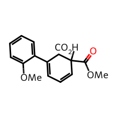 COC(=O)C1(C(=O)O)C=CC=C(c2ccccc2OC)C1